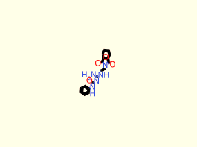 N/C(=N\C(=O)Nc1ccccc1)NCCN1C(=O)C2C3C=CC(O3)C2C1=O